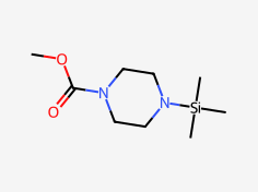 COC(=O)N1CCN([Si](C)(C)C)CC1